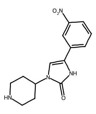 O=c1[nH]c(-c2cccc([N+](=O)[O-])c2)cn1C1CCNCC1